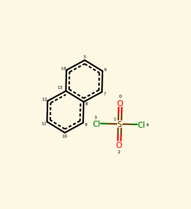 O=S(=O)(Cl)Cl.c1ccc2ccccc2c1